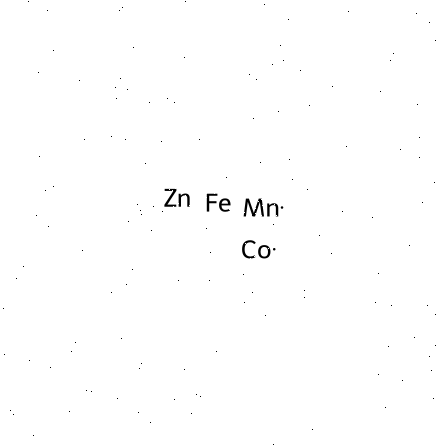 [Co].[Fe].[Mn].[Zn]